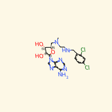 CN(CCNCc1ccc(Cl)cc1Cl)C[C@H]1O[C@@H](n2cnc3c(N)ncnc32)[C@H](O)[C@@H]1O